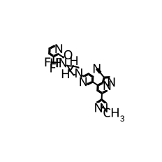 Cn1cc(-c2cc(-c3ccc(N4C[C@@H]5C(NC(=O)c6ncccc6C(F)(F)F)[C@@H]5C4)nc3)c3c(C#N)cnn3c2)cn1